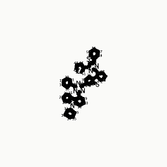 C1=CC2Sc3cc(-c4nc(-c5ccccc5)nc(-c5cccc6c5c5ccccc5n6-c5ccccc5)n4)ccc3C2C(c2nc(-c3ccccc3)c3sc4ccccc4c3n2)=C1